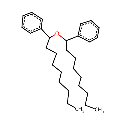 CCCCCCCCC(OC(CCCCCCCC)c1ccccc1)c1ccccc1